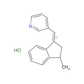 CC1C/C(=C/c2cccnc2)c2ccccc21.Cl